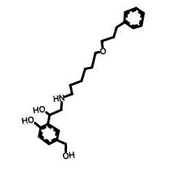 OCc1ccc(O)c(C(O)CNCCCCCCOCCCc2ccccc2)c1